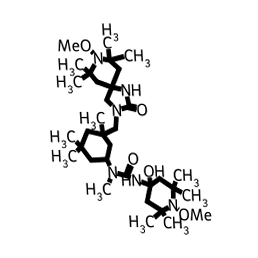 CON1C(C)(C)CC(O)(NC(=O)N(C)C2CC(C)(C)CC(C)(CN3CC4(CC(C)(C)N(OC)C(C)(C)C4)NC3=O)C2)CC1(C)C